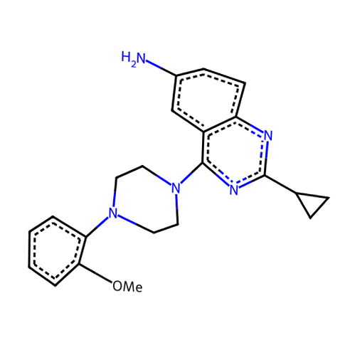 COc1ccccc1N1CCN(c2nc(C3CC3)nc3ccc(N)cc23)CC1